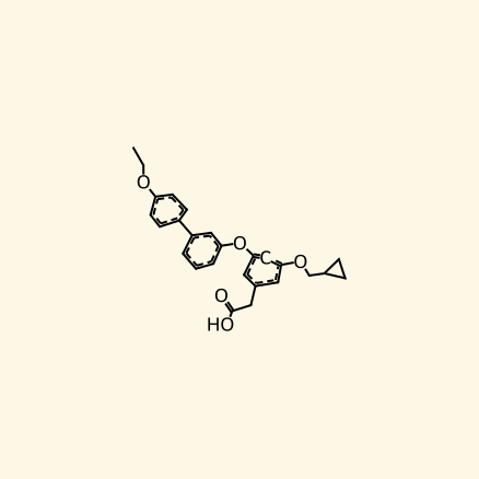 CCOc1ccc(-c2cccc(Oc3cc(CC(=O)O)cc(OCC4CC4)c3)c2)cc1